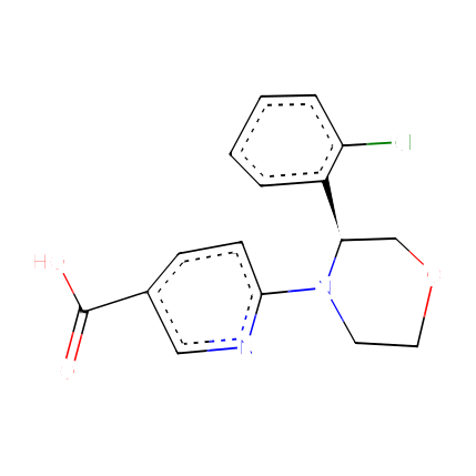 O=C(O)c1ccc(N2CCOC[C@@H]2c2ccccc2Cl)nc1